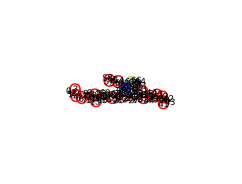 C=CC(=O)OCOc1ccc(OC(=O)C2CCC(COc3ccc(OCC4CCC(C(=O)Oc5ccc(OCOC(=O)C=C)cc5)CC4)c(/C=N/N(CCOCCOC)c4nc5ccccc5s4)c3)CC2)cc1